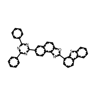 c1ccc(-c2nc(-c3ccccc3)nc(-c3ccc4c(ccc5oc(-c6cccc7c6sc6ccccc67)nc54)c3)n2)cc1